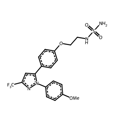 COc1ccc(-n2nc(C(F)(F)F)cc2-c2ccc(OCCNS(N)(=O)=O)cc2)cc1